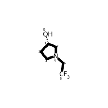 O[C@H]1CCN(CC(F)(F)F)C1